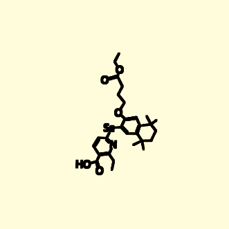 CCOC(=O)CCCOc1cc2c(cc1[Se]c1ccc(C(=O)O)c(CC)n1)C(C)(C)CCC2(C)C